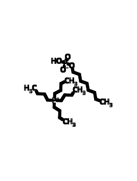 CCCCCCCCOP(=O)([O-])O.CCCC[P+](CCCC)(CCCC)CCCC